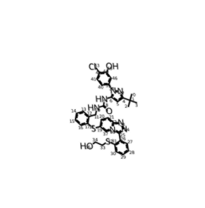 CC(C)(C)c1cc(NC(=O)NCc2ccccc2Sc2ccc3nnc(-c4ccccc4SCCO)n3c2)n(-c2ccc(Cl)c(O)c2)n1